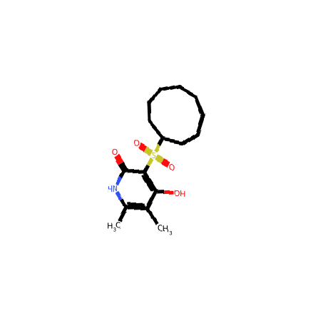 Cc1[nH]c(=O)c(S(=O)(=O)C2CCCCCCCC2)c(O)c1C